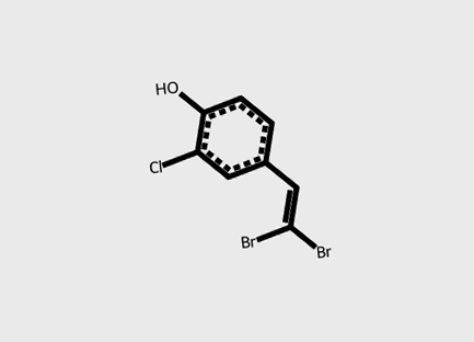 Oc1ccc(C=C(Br)Br)cc1Cl